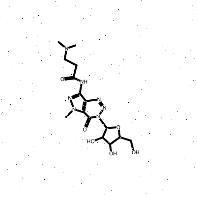 CN(C)CCC(=O)Nc1nn(C)c2c(=O)n(C3OC(CO)C(O)C3O)nnc12